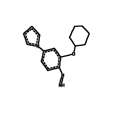 N=Nc1ccc(-n2cccc2)cc1OC1CCCCC1